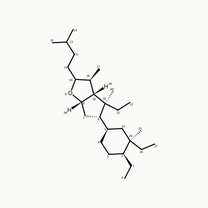 CC[C@H]1CC[C@@H]([C@@H]2C[C@@H]3OC(CCC(C)C)[C@@H](C)[C@@H]3[C@@]2(C)CC)C[C@@]1(C)CC